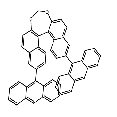 c1ccc2c(-c3ccc4c5c(ccc4c3)OCOc3ccc4cc(-c6c7ccccc7cc7ccccc67)ccc4c3-5)c3ccccc3cc2c1